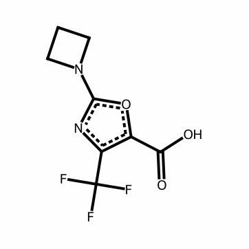 O=C(O)c1oc(N2CCC2)nc1C(F)(F)F